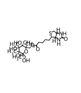 CC1(CO)OC(C)(COC(=O)CCCCC2SC[C@@H]3NC(=O)N[C@H]23)C(C)(O)C(C)(O)C1(C)O